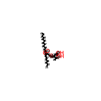 CCCCCCCCCCCC(=O)OC(CCCCCCC)CCOCC(CP(O)O)C(C)C